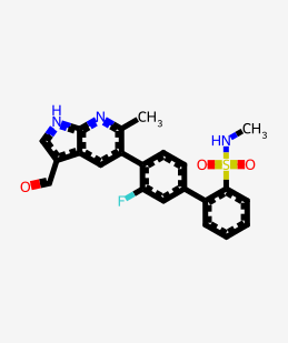 CNS(=O)(=O)c1ccccc1-c1ccc(-c2cc3c(C=O)c[nH]c3nc2C)c(F)c1